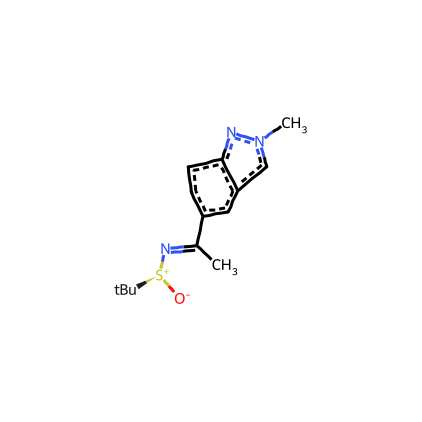 C/C(=N\[S@@+]([O-])C(C)(C)C)c1ccc2nn(C)cc2c1